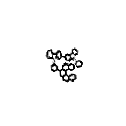 c1ccc(-n2c3ccccc3c3cc(-c4ccc5c6ccccc6n(-c6cccc(-c7cc8ccc9ccccc9c8c8c7ccc7ccccc78)c6)c5c4)ccc32)cc1